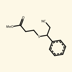 COC(=O)CCSC(CC#N)c1ccccc1